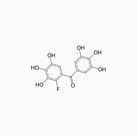 O=C(c1cc(O)c(O)c(O)c1)c1cc(O)c(O)c(O)c1F